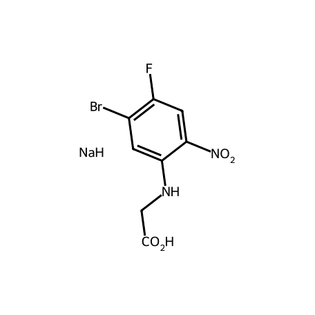 O=C(O)CNc1cc(Br)c(F)cc1[N+](=O)[O-].[NaH]